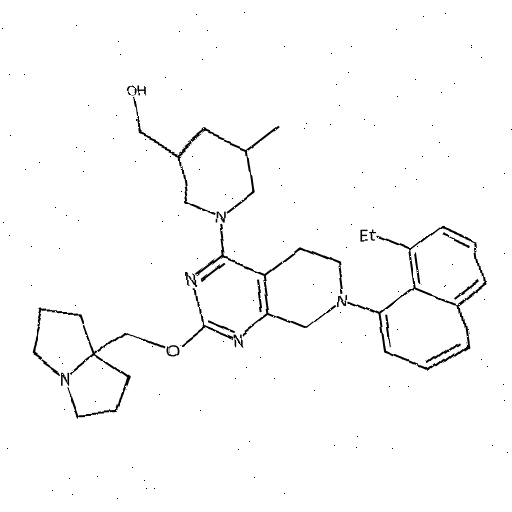 CCc1cccc2cccc(N3CCc4c(nc(OCC56CCCN5CCC6)nc4N4CC(C)CC(CO)C4)C3)c12